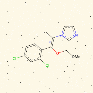 COCO/C(=C(/C)n1ccnc1)c1ccc(Cl)cc1Cl